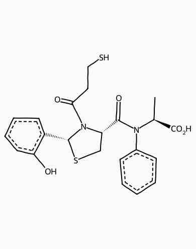 C[C@@H](C(=O)O)N(C(=O)[C@@H]1CS[C@H](c2ccccc2O)N1C(=O)CCS)c1ccccc1